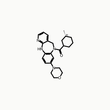 C[C@@H]1CCCC(C(=O)N2Cc3cccnc3Nc3ccc(N4CCOCC4)cc32)C1